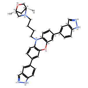 c1cc2c(cc1-c1ccc3[nH]ncc3c1)Oc1cc(-c3ccc4[nH]ncc4c3)ccc1N2CCCCN1C[C@@H]2C[C@H]1CO2